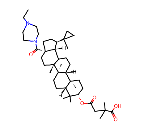 CCN1CCN(C(=O)[C@]23CC[C@@H](C4(C)CC4)[C@@H]2C2CC[C@@H]4[C@@]5(C)CC[C@H](OC(=O)CC(C)(C)C(=O)O)C(C)(C)[C@@H]5CC[C@@]4(C)[C@]2(C)CC3)CC1